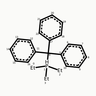 CC[PH](CC)(CC)C(c1ccccc1)(c1ccccc1)c1ccccc1